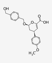 COc1ccc([C@@H]2C=C(C(=O)O)O[C@H](OCc3ccc(CO)cc3)C2)cc1